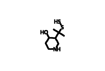 CC(C)(SS)C1CNCCC1O